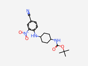 CC(C)(C)OC(=O)NC1CCC(Nc2ccc(C#N)cc2[N+](=O)[O-])CC1